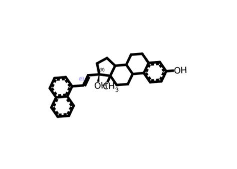 CC12CCC3c4ccc(O)cc4CCC3C1CC[C@@]2(O)/C=C/c1cccc2ccccc12